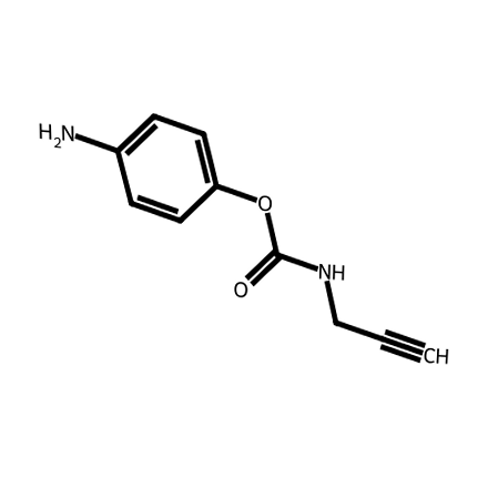 C#CCNC(=O)Oc1ccc(N)cc1